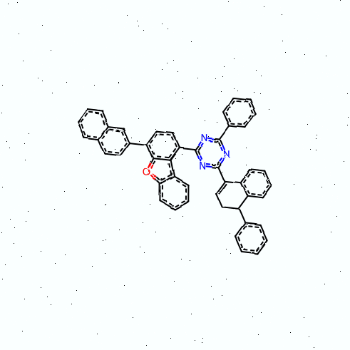 C1=C(c2nc(-c3ccccc3)nc(-c3ccc(-c4ccc5ccccc5c4)c4oc5ccccc5c34)n2)c2ccccc2C(c2ccccc2)C1